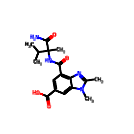 Cc1nc2c(C(=O)NC(C)(C(N)=O)C(C)C)cc(C(=O)O)cc2n1C